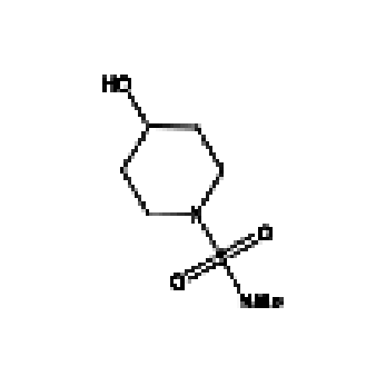 CNS(=O)(=O)N1CCC(O)CC1